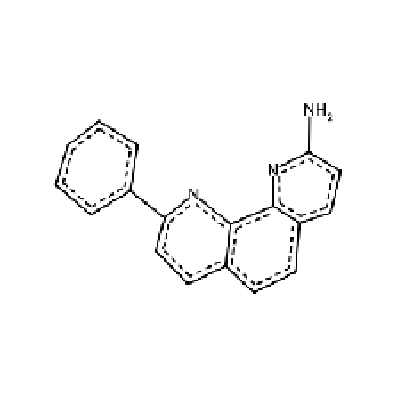 Nc1ccc2ccc3ccc(-c4ccccc4)nc3c2n1